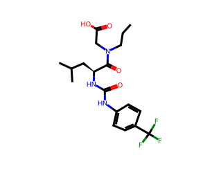 CCCN(CC(=O)O)C(=O)[C@H](CC(C)C)NC(=O)Nc1ccc(C(F)(F)F)cc1